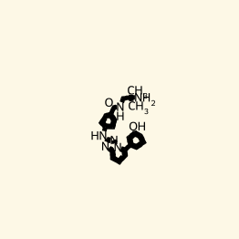 CC(C)(N)CNC(=O)c1ccc(Nc2nc3cccc(-c4cccc(O)c4)n3n2)cc1